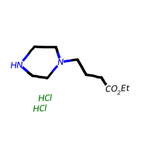 CCOC(=O)CCCN1CCNCC1.Cl.Cl